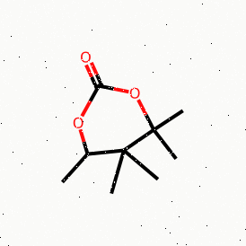 CC1OC(=O)OC(C)(C)C1(C)C